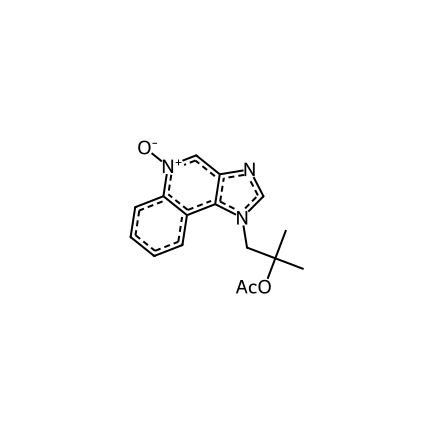 CC(=O)OC(C)(C)Cn1cnc2c[n+]([O-])c3ccccc3c21